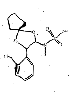 CN(C1OC2(CCCC2)OC1c1ccccc1Cl)S(=O)(=O)O